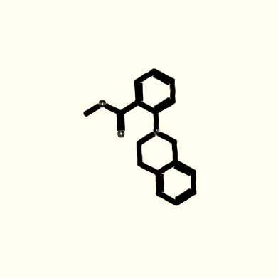 COC(=O)c1ccccc1N1CCc2ccccc2C1